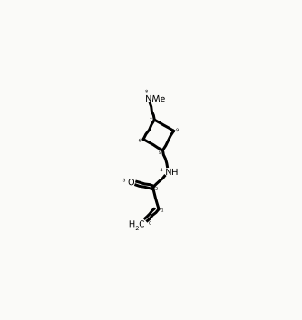 C=CC(=O)NC1CC(NC)C1